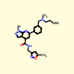 CNCCN(C)Cc1cccc(-c2cc(C(=O)NCc3cc(C)on3)c3cnn(C(C)C)c3n2)c1